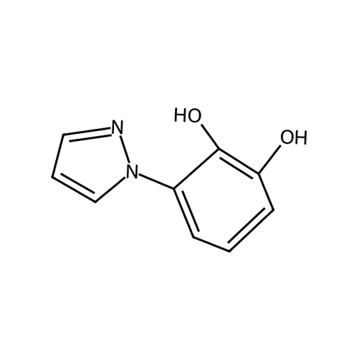 Oc1cccc(-n2cccn2)c1O